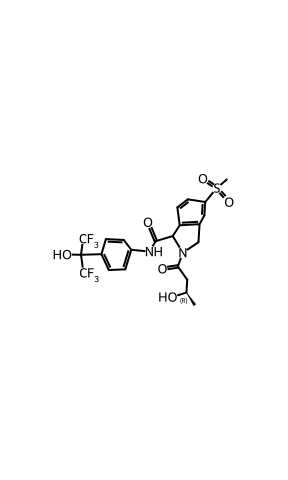 C[C@@H](O)CC(=O)N1Cc2cc(S(C)(=O)=O)ccc2C1C(=O)Nc1ccc(C(O)(C(F)(F)F)C(F)(F)F)cc1